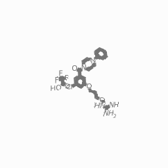 N=C(N)NOCCCOc1cc(Cl)cc(C(=O)N2CCN(c3ccccc3)CC2)c1.O=C(O)C(F)(F)F